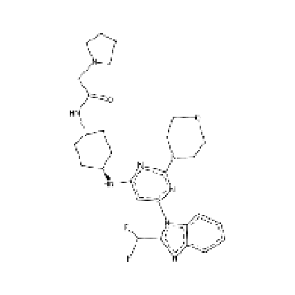 O=C(CN1CCCC1)N[C@H]1CC[C@H](Nc2cc(-n3c(C(F)F)nc4ccccc43)nc(N3CCOCC3)n2)CC1